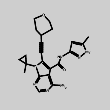 Cc1cc(NC(=O)c2c(C#CC3CCOCC3)n(C3(C)CC3)c3ncnc(N)c23)n[nH]1